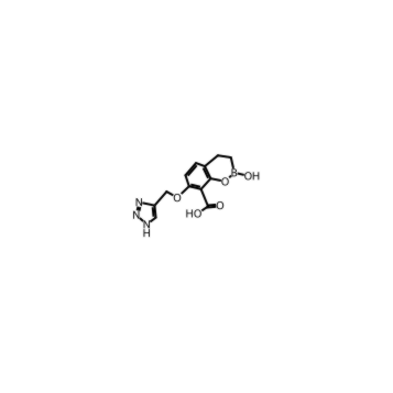 O=C(O)c1c(OCc2c[nH]nn2)ccc2c1OB(O)CC2